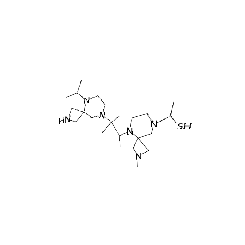 CC(S)N1CCN(C(C)C(C)(C)N2CCN(C(C)C)C3(CNC3)C2)C2(CN(C)C2)C1